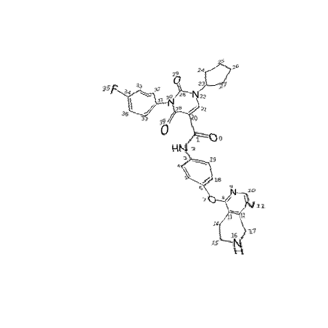 O=C(Nc1ccc(Oc2ncnc3c2CCNC3)cc1)c1cn(C2CCCC2)c(=O)n(-c2ccc(F)cc2)c1=O